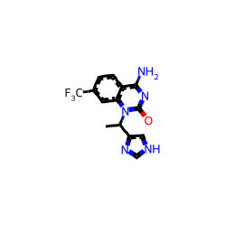 CC(c1c[nH]cn1)n1c(=O)nc(N)c2ccc(C(F)(F)F)cc21